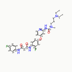 CCN(CC)CCCN(C)C(=O)Nc1cc(Oc2ccc(NC(=O)CC(=O)Nc3ccc(F)cc3)c(F)c2)ccn1